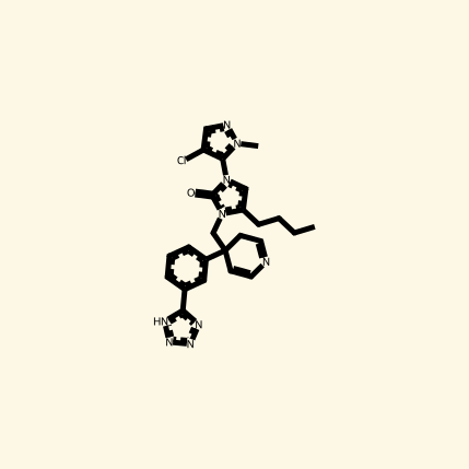 CCCCc1cn(-c2c(Cl)cnn2C)c(=O)n1CC1(c2cccc(-c3nnn[nH]3)c2)C=CN=CC1